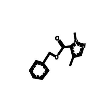 Cc1cnn(C)c1C(=O)OCc1ccccc1